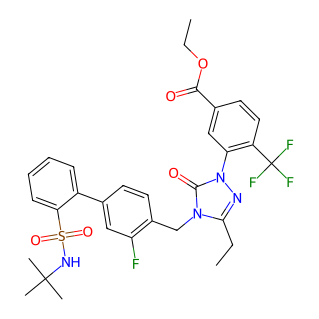 CCOC(=O)c1ccc(C(F)(F)F)c(-n2nc(CC)n(Cc3ccc(-c4ccccc4S(=O)(=O)NC(C)(C)C)cc3F)c2=O)c1